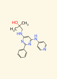 CC(C)(O)CNc1cc(Nc2ccncc2)nc(-c2ccccc2)n1